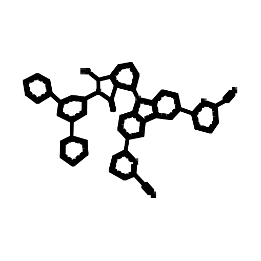 N#Cc1cccc(-c2ccc3c(c2)c2cc(-c4cccc(C#N)n4)ccc2n3-c2cccc3c2C(=O)N(c2cc(-c4ccccc4)cc(-c4ccccc4)c2)C3O)n1